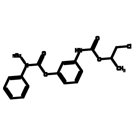 CCCCN(C(=O)Oc1cccc(NC(=O)OC(C)CCl)c1)c1ccccc1